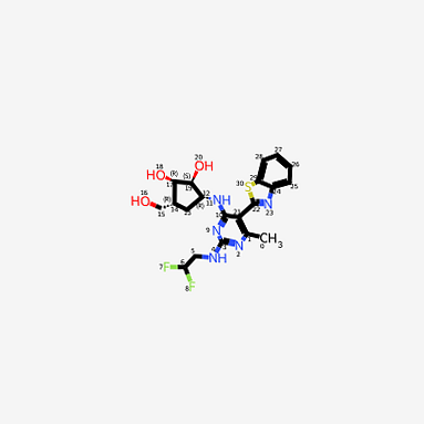 Cc1nc(NCC(F)F)nc(N[C@@H]2C[C@H](CO)[C@@H](O)[C@H]2O)c1-c1nc2ccccc2s1